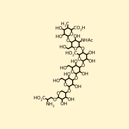 CC(=O)NC1C(OC2C(C(=O)O)OC(OC3C(O)C(CO)OC(OC4C(O)C(CO)OC(OC5COC(OCC(N)C(=O)O)C(O)C5O)C4O)C3O)C(O)C2O)OC(CO)C(OC2OC(C(=O)O)C(C)C(O)C2O)C1O